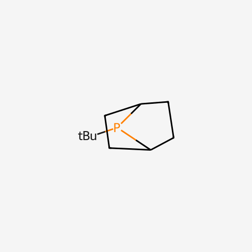 CC(C)(C)P1C2CCC1CC2